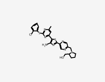 Cc1cc(-c2sc(-c3cnc(CN4CCCC4CO)cn3)nc2N)nc(Sc2ccccc2Cl)n1